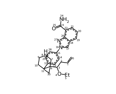 C=CCC(OCC)C12CNCCC1(c1ccc(-n3cc4cccc(C(N)=O)c4n3)cc1)C2